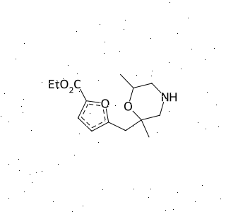 CCOC(=O)c1ccc(CC2(C)CNCC(C)O2)o1